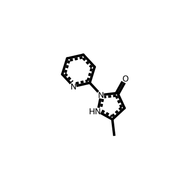 Cc1cc(=O)n(-c2ccccn2)[nH]1